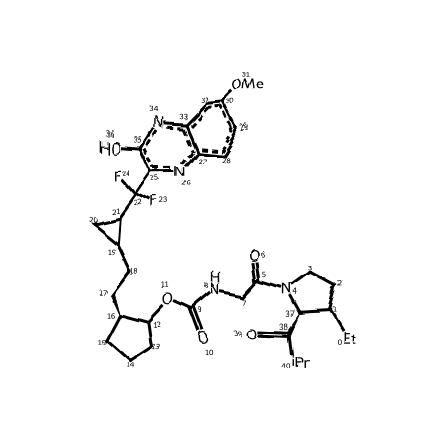 CCC1CCN(C(=O)CNC(=O)OC2CCC[C@H]2CCC2CC2C(F)(F)c2nc3ccc(OC)cc3nc2O)[C@@H]1C(=O)C(C)C